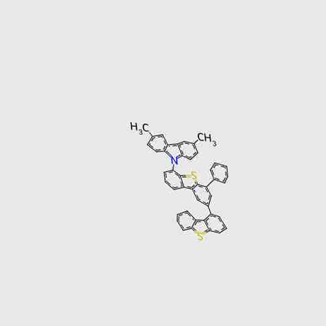 Cc1ccc2c(c1)c1cc(C)ccc1n2-c1cccc2c1sc1c(-c3ccccc3)cc(-c3cccc4sc5ccccc5c34)cc12